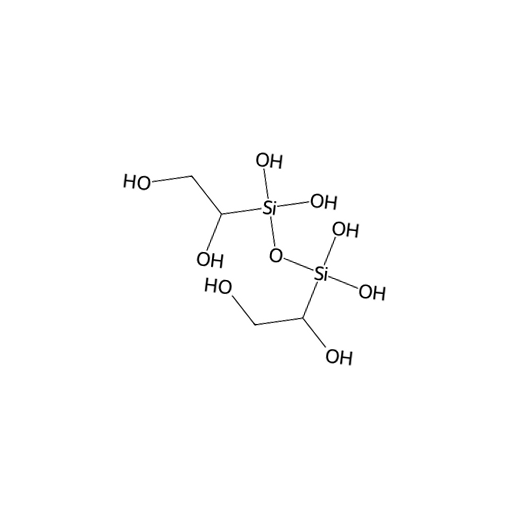 OCC(O)[Si](O)(O)O[Si](O)(O)C(O)CO